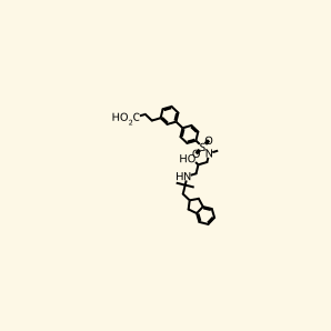 CN(CC(O)CNC(C)(C)CC1Cc2ccccc2C1)S(=O)(=O)c1ccc(-c2cccc(CCC(=O)O)c2)cc1